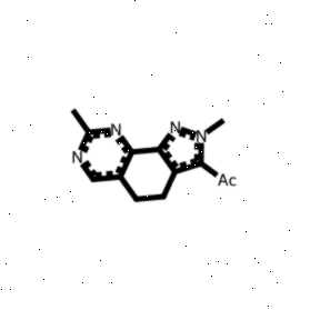 CC(=O)c1c2c(nn1C)-c1nc(C)ncc1CC2